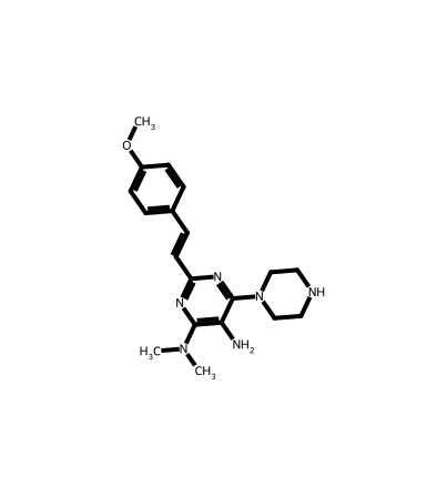 COc1ccc(/C=C/c2nc(N(C)C)c(N)c(N3CCNCC3)n2)cc1